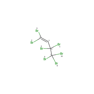 BrC(Br)=CC(Br)(Br)C(Br)(Br)Br